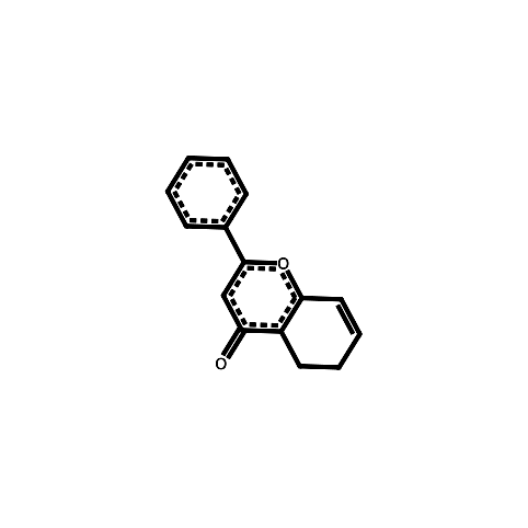 O=c1cc(-c2ccccc2)oc2c1CCC=C2